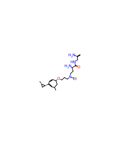 C=C(N)CNC(=O)C(N)CCN(CC)CCCOC1C=CC([C@H]2C[C@H]2C)=CC(C)C1